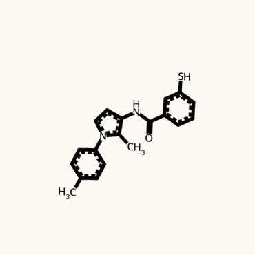 Cc1ccc(-n2ccc(NC(=O)c3cccc(S)c3)c2C)cc1